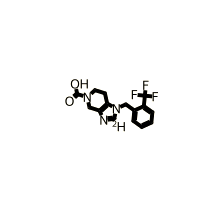 [2H]c1nc2c(n1Cc1ccccc1C(F)(F)F)CCN(C(=O)O)C2